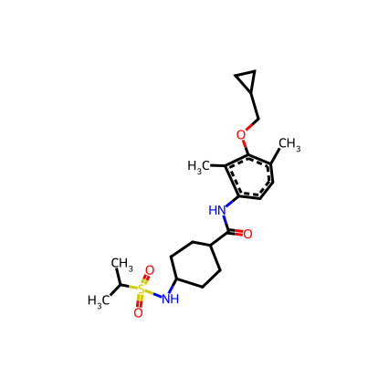 Cc1ccc(NC(=O)C2CCC(NS(=O)(=O)C(C)C)CC2)c(C)c1OCC1CC1